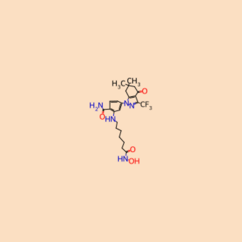 CC1(C)CC(=O)c2c(C(F)(F)F)nn(-c3ccc(C(N)=O)c(NCCCCCCC(=O)NO)c3)c2C1